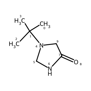 CC(C)(C)N1CNC(=O)C1